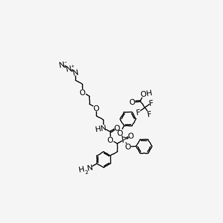 O=C(O)C(F)(F)F.[N-]=[N+]=NCCOCCOCCNC(=O)OC(Cc1ccc(N)cc1)P(=O)(Oc1ccccc1)Oc1ccccc1